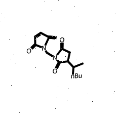 C=C1C=CC(=O)N1CN1C(=O)CC(C(C)CCCC)C1=O